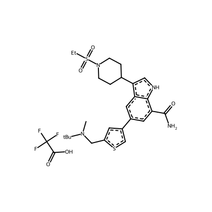 CCS(=O)(=O)N1CCC(c2c[nH]c3c(C(N)=O)cc(-c4csc(CN(C)C(C)(C)C)c4)cc23)CC1.O=C(O)C(F)(F)F